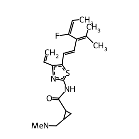 C=Cc1nc(NC(=O)C2CC2CNC)sc1/C=C/C(=C(C)C)/C(F)=C\C